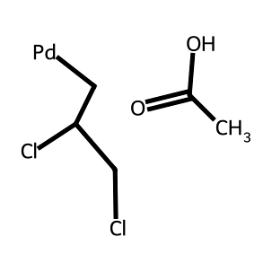 CC(=O)O.ClCC(Cl)[CH2][Pd]